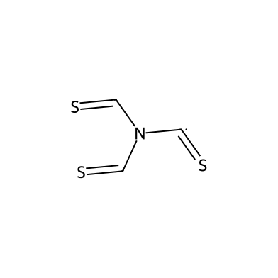 S=[C]N(C=S)C=S